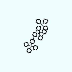 c1ccc([Si](c2ccccc2)(c2ccccc2)c2ccc(-c3ccc4c(c3)C3(c5ccccc5-c5ccccc53)c3cc([Si](c5ccccc5)(c5ccccc5)c5ccccc5)ccc3-4)cc2)cc1